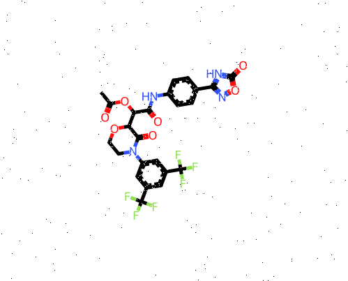 CC(=O)OC(C(=O)Nc1ccc(-c2noc(=O)[nH]2)cc1)C1OCCN(c2cc(C(F)(F)F)cc(C(F)(F)F)c2)C1=O